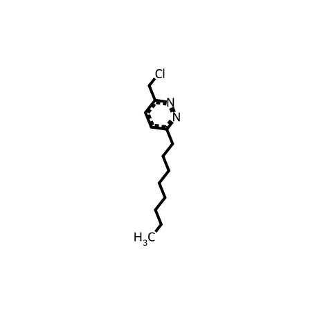 CCCCCCCCc1ccc(CCl)nn1